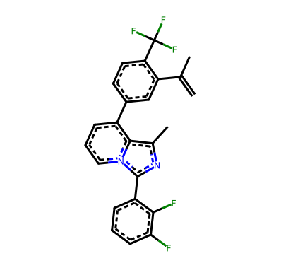 C=C(C)c1cc(-c2cccn3c(-c4cccc(F)c4F)nc(C)c23)ccc1C(F)(F)F